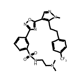 CN(C)CCNS(=O)(=O)c1cccc(-c2noc(-c3cnn(C)c3CCc3ccc(C(F)(F)F)cc3)n2)c1